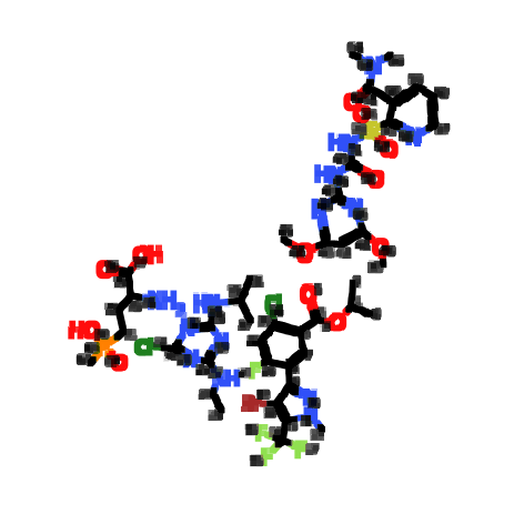 CC(C)OC(=O)c1cc(-c2nn(C)c(C(F)(F)F)c2Br)c(F)cc1Cl.CCNc1nc(Cl)nc(NC(C)C)n1.COc1cc(OC)nc(NC(=O)NS(=O)(=O)c2ncccc2C(=O)N(C)C)n1.CP(=O)(O)CCC(N)C(=O)O